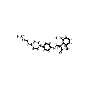 COCCN1CCN(c2ccc(NC=C3C(=O)Nc4cccc(C)c43)cc2)CC1